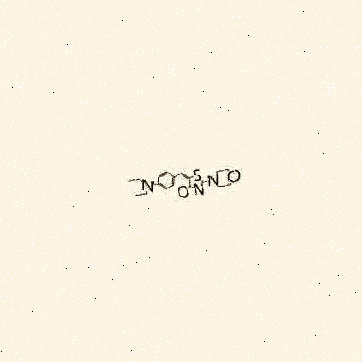 CCN(CC)c1ccc(/C=C2/SC(N3CCOCC3)=NC2=O)cc1